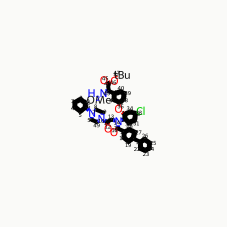 COc1ccccc1N1CCN(C(=O)CN(C(=O)c2ccc(-c3ccccc3)cc2)c2ccc(Cl)cc2Oc2cccc(C(N)C(=O)OC(C)(C)C)c2)CC1